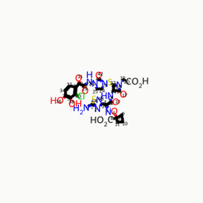 Nc1nc(/C(=N/OC2(C(=O)O)CCC2)C(=O)N[C@@H]2C(=O)N(CC(=O)O)[C@@H]2SN2CCN(NC(=O)C(=O)c3ccc(O)c(O)c3Cl)C2=O)ns1